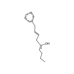 CCCC[SiH](O)CC=CCc1ccccc1